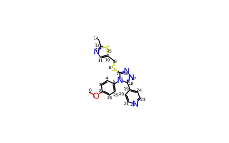 COc1ccc(-n2c(SCc3cnc(C)s3)nnc2-c2ccncc2)cc1